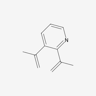 C=C(C)c1cccnc1C(=C)C